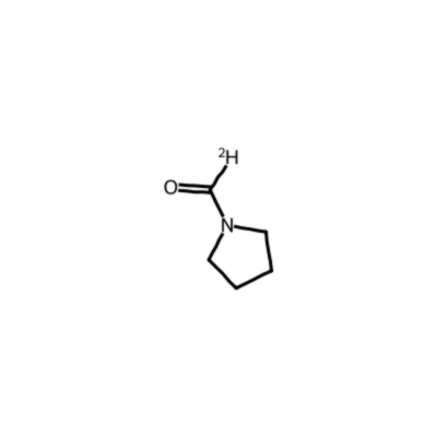 [2H]C(=O)N1CCCC1